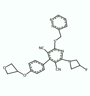 N#Cc1c(SCc2cccnn2)nc(N2CC(F)C2)c(C#N)c1-c1ccc(OC2COC2)cc1